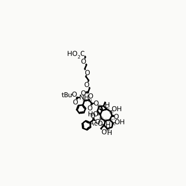 CC(=O)O[C@]12CO[C@H]1C[C@@H](O)[C@]1(C)C(=O)[C@@H](O)[C@H]3C(C)[C@H](OC(=O)[C@@H](OC(=O)COCCOCCOCC(=O)O)[C@H](NC(=O)OC(C)(C)C)c4ccccc4)C[C@](O)([C@H](OC(=O)c4ccccc4)[C@@H]21)C3(C)C